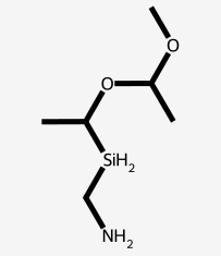 COC(C)OC(C)[SiH2]CN